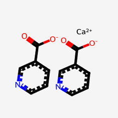 O=C([O-])c1cccnc1.O=C([O-])c1cccnc1.[Ca+2]